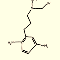 CC(C)CN(C)CCCc1cc(N)ccc1N